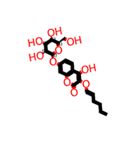 CCCCC=COc1c(O)c2ccc(O[C@@H]3O[C@H](CO)[C@@H](O)[C@H](O)[C@H]3O)cc2oc1=O